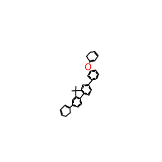 CC1(C)c2cc(C3=CC=CCC3)ccc2-c2ccc(-c3cccc(OC4=CC=CCC4)c3)cc21